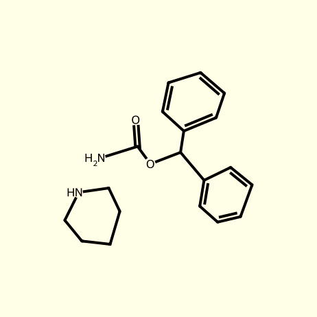 C1CCNCC1.NC(=O)OC(c1ccccc1)c1ccccc1